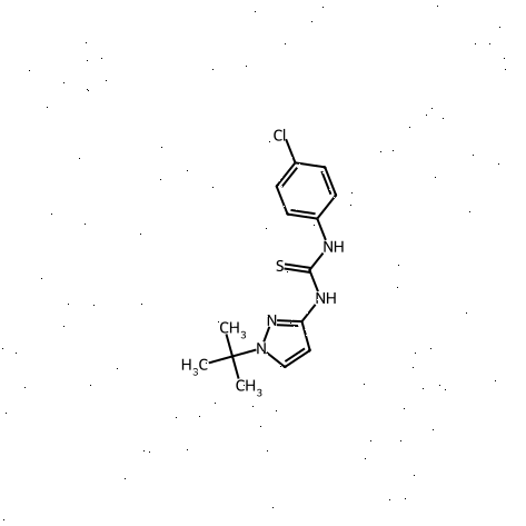 CC(C)(C)n1ccc(NC(=S)Nc2ccc(Cl)cc2)n1